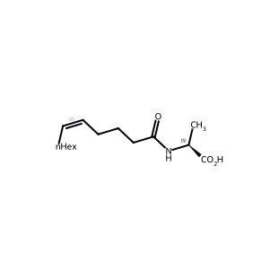 CCCCCC/C=C\CCCC(=O)N[C@@H](C)C(=O)O